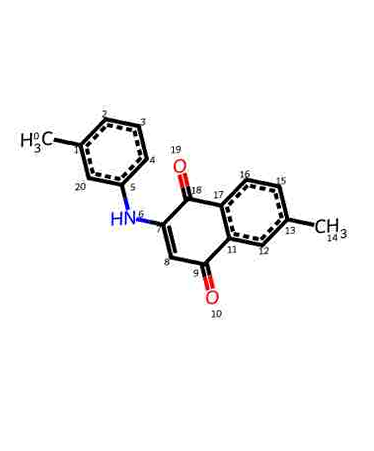 Cc1cccc(NC2=CC(=O)c3cc(C)ccc3C2=O)c1